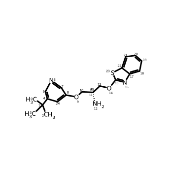 CC(C)(C)c1cncc(OC[C@@H](N)COc2nc3ccccc3s2)c1